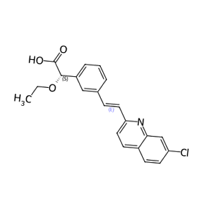 CCO[C@H](C(=O)O)c1cccc(/C=C/c2ccc3ccc(Cl)cc3n2)c1